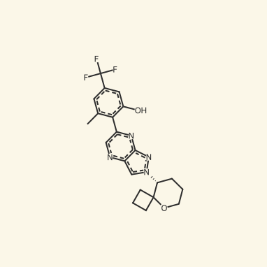 Cc1cc(C(F)(F)F)cc(O)c1-c1cnc2cn([C@@H]3CCCOC34CCC4)nc2n1